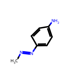 CN=Nc1ccc(N)cc1